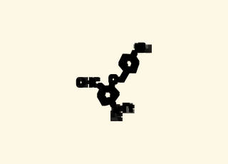 CCN(CC)c1ccc(C=O)c(OCc2ccc(C(C)(C)C)cc2)c1